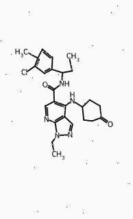 CCC(NC(=O)c1cnc2c(cnn2CC)c1NC1CCC(=O)CC1)c1ccc(C)c(Cl)c1